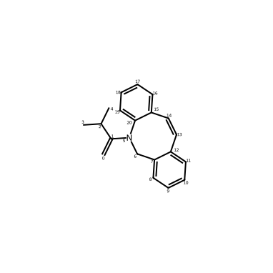 C=C(C(C)C)N1Cc2ccccc2/C=C\c2ccccc21